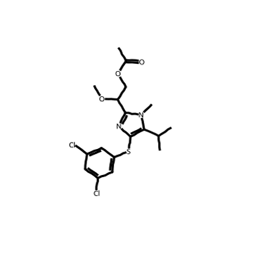 COC(COC(C)=O)c1nc(Sc2cc(Cl)cc(Cl)c2)c(C(C)C)n1C